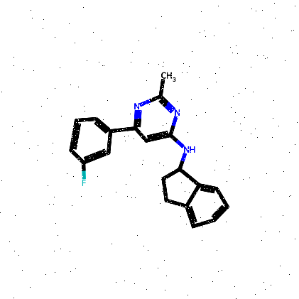 Cc1nc(NC2CCc3ccccc32)cc(-c2cccc(F)c2)n1